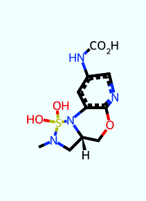 CN1C[C@H]2COc3ncc(NC(=O)O)cc3N2S1(O)O